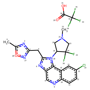 Cc1nc(Cc2nc3cnc4ccc(Cl)cc4c3n2C2CN(C)CC2(F)F)no1.O=C(O)C(F)(F)F